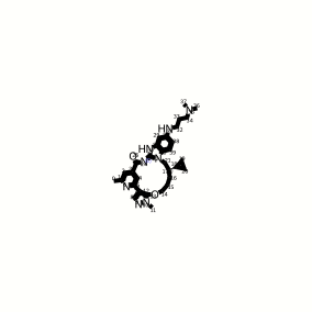 Cc1cc2cc(n1)-c1cnn(C)c1OCCC[C@@H](C1CC1)CN1/C(=N/C2=O)Nc2cc(NCCCN(C)C)ccc21